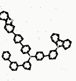 c1ccc(-c2cccc(-c3cccc(N(c4ccc(-c5ccc(-c6ccc7c(c6)oc6ccccc67)cc5)cc4)c4ccc(-c5cccc(-n6c7ccccc7c7ccccc76)c5)cc4)c3)c2)cc1